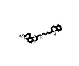 Cc1ccc2c3c(ccc2n1)OCC(CNCCCCC1CCc2ccccc2N1)O3